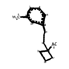 CC(=O)C1(CCc2cccc(C)c2)CCC1